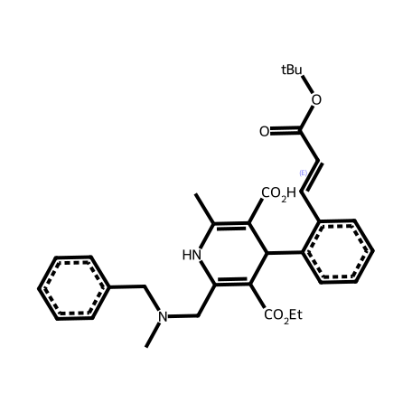 CCOC(=O)C1=C(CN(C)Cc2ccccc2)NC(C)=C(C(=O)O)C1c1ccccc1/C=C/C(=O)OC(C)(C)C